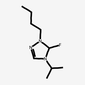 CCCCN1N=CN(C(C)C)C1F